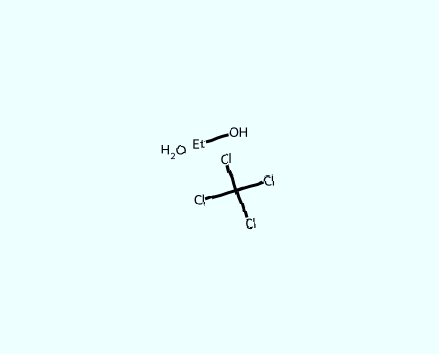 CCO.ClC(Cl)(Cl)Cl.O